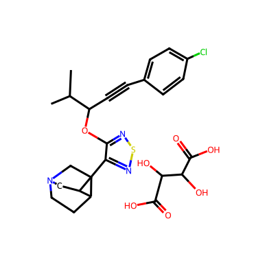 CC(C)C(C#Cc1ccc(Cl)cc1)Oc1nsnc1C1CN2CCC1CC2.O=C(O)C(O)C(O)C(=O)O